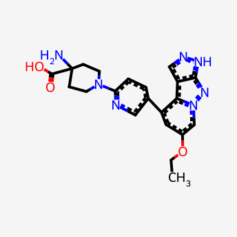 CCOc1cc(-c2ccc(N3CCC(N)(C(=O)O)CC3)nc2)c2c3cn[nH]c3nn2c1